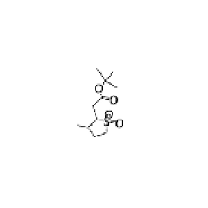 CC1CCS(=O)(=O)C1CC(=O)OC(C)(C)C